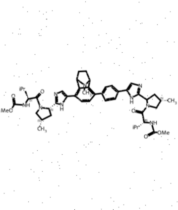 COC(=O)N[C@H](C(=O)N1C[C@@H](C)C[C@H]1c1ncc(-c2ccc(-c3ccc(-c4cnc(C5C[C@H](C)CN5C(=O)[C@H](NC(=O)OC)C(C)C)[nH]4)cc3)c3c2C2CCC3N2C)[nH]1)C(C)C